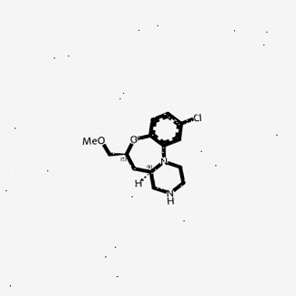 COC[C@@H]1C[C@@H]2CNCCN2c2cc(Cl)ccc2O1